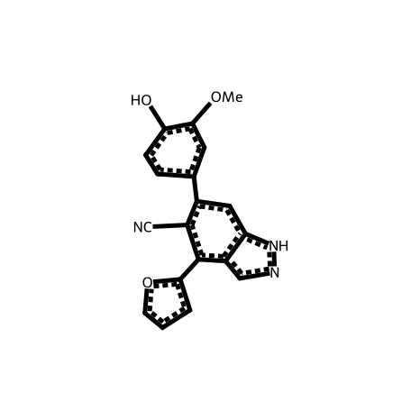 COc1cc(-c2cc3[nH]ncc3c(-c3ccco3)c2C#N)ccc1O